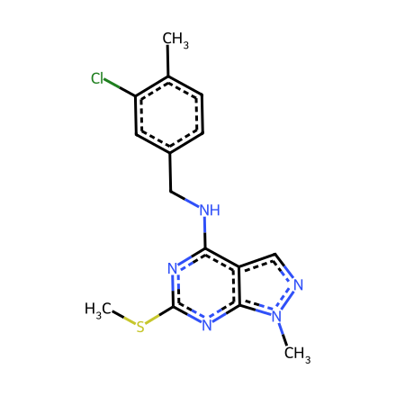 CSc1nc(NCc2ccc(C)c(Cl)c2)c2cnn(C)c2n1